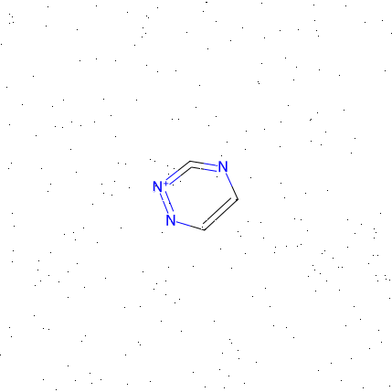 C1=NC=CN=[N+]=1